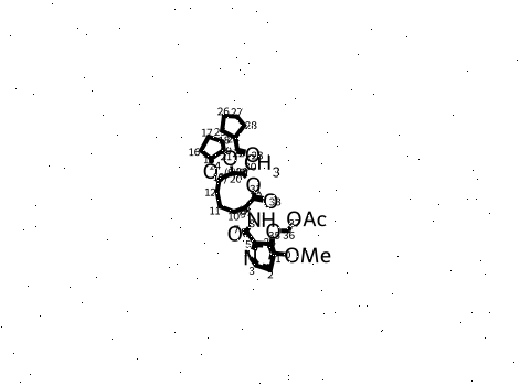 COc1ccnc(C(=O)N[C@H]2CCC[C@H](OC3CCCC3)[C@@H](OC(=O)C3CCCC3)[C@H](C)OC2=O)c1OCOC(C)=O